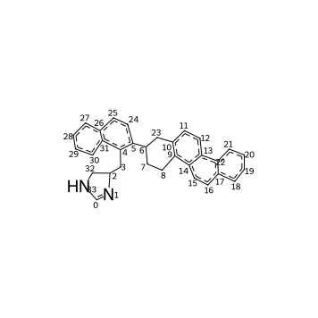 C1=NC(Cc2c(C3CCc4c(ccc5c4ccc4ccccc45)C3)ccc3ccccc23)CN1